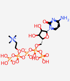 C[N+](C)(C)CCOP(=O)(OP(=O)(O)O)OP(=O)([O-])OP(=O)(OC[C@H]1O[C@@H](n2ccc(N)nc2=O)C(O)C1O)OP(=O)(O)O